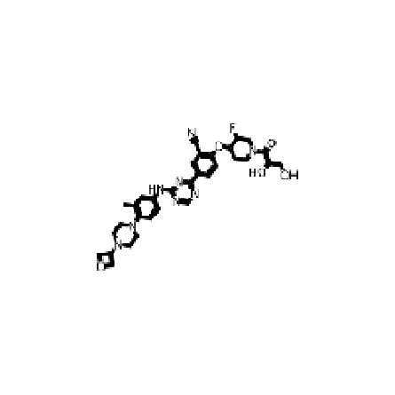 Cc1cc(Nc2ncnc(-c3ccc(OC4CCN(C(=O)C(O)CO)CC4F)c(C#N)c3)n2)ccc1N1CCN(C2COC2)CC1